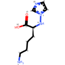 NCCCC[C@H](Nn1ccnc1)C(=O)O